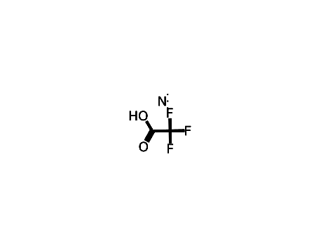 O=C(O)C(F)(F)F.[N]